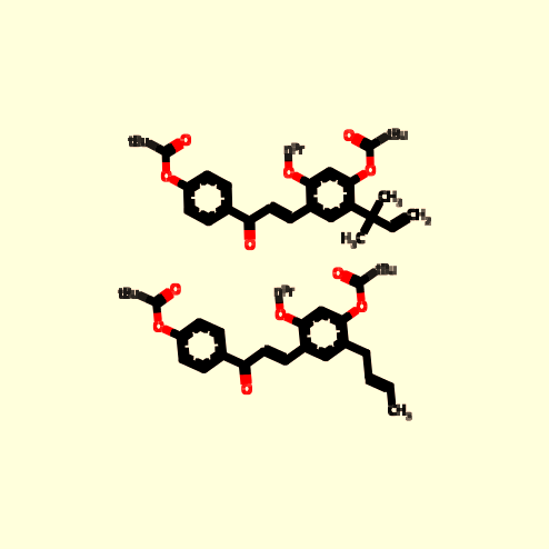 C/C=C/Cc1cc(/C=C/C(=O)c2ccc(OC(=O)C(C)(C)C)cc2)c(OCCC)cc1OC(=O)C(C)(C)C.C=CC(C)(C)c1cc(/C=C/C(=O)c2ccc(OC(=O)C(C)(C)C)cc2)c(OCCC)cc1OC(=O)C(C)(C)C